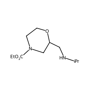 CCOC(=O)N1CCOC(CNC(C)C)C1